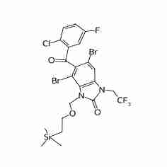 C[Si](C)(C)CCOCn1c(=O)n(CC(F)(F)F)c2cc(Br)c(C(=O)c3cc(F)ccc3Cl)c(Br)c21